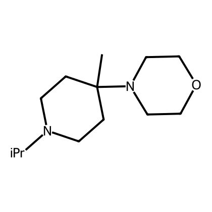 CC(C)N1CCC(C)(N2CCOCC2)CC1